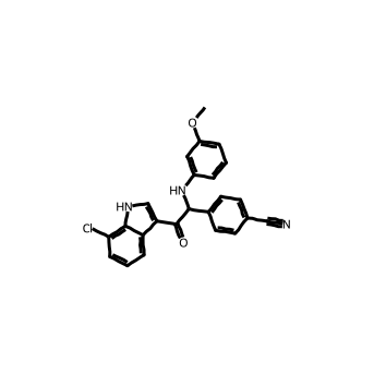 COc1cccc(NC(C(=O)c2c[nH]c3c(Cl)cccc23)c2ccc(C#N)cc2)c1